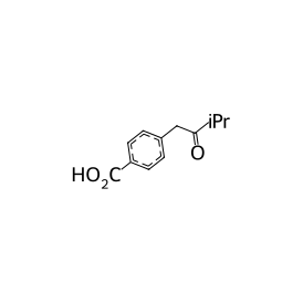 CC(C)C(=O)Cc1ccc(C(=O)O)cc1